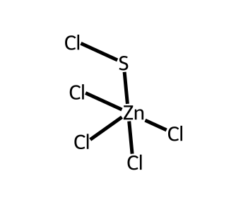 Cl[S][Zn]([Cl])([Cl])([Cl])[Cl]